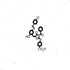 O=C(O)c1ccc(N=C2SC(=Cc3cc(N=Nc4ccc(Cl)cc4)ccc3O)C(=O)N2C(=O)c2ccccc2)cc1